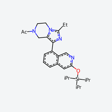 CCc1nc(-c2cccc3cc(O[Si](C(C)C)(C(C)C)C(C)C)ncc23)c2n1CCN(C(C)=O)C2